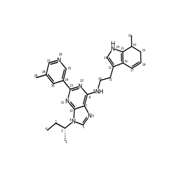 CC[C@@H](C)n1cnc2c(NCCc3c[nH]c4c3C=CCC4C)nc(-c3cncc(C)c3)nc21